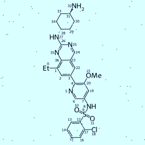 CCc1cc(-c2ncc(NS(=O)(=O)c3ccccc3Cl)cc2OC)cc2cnc(N[C@H]3CC[C@H](N)CC3)nc12